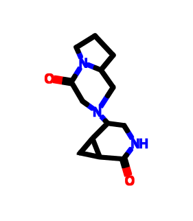 O=C1NCC(N2CC(=O)N3CCCC3C2)C2CC12